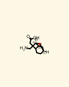 NCC1(CC(=O)O)C2CC[C@H]3C[C@@H]2[C@@H]1C3